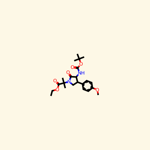 CCOC(=O)C(C)(C)N1CC(c2ccc(OC)cc2)C(NC(=O)OC(C)(C)C)C1=O